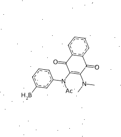 Bc1cccc(N(C(C)=O)C2=C(N(C)C)C(=O)c3ccccc3C2=O)c1